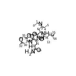 C/C=N\C(=C/C)C[C@@H](NC(=O)[C@@H](C)CC(C)C)C(=O)N[C@@H](CCC(N)=O)C(=O)N[C@H](CC(C)=O)C(C)=O